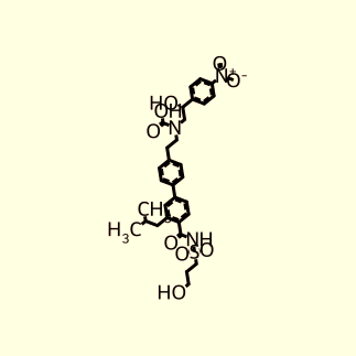 CC(C)Cc1cc(-c2ccc(CCN(C[C@H](O)c3ccc([N+](=O)[O-])cc3)C(=O)O)cc2)ccc1C(=O)NS(=O)(=O)CCCO